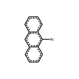 [CH2]C(=O)c1c2ccccc2cc2ccccc12